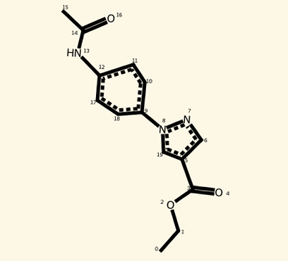 CCOC(=O)c1cnn(-c2ccc(NC(C)=O)cc2)c1